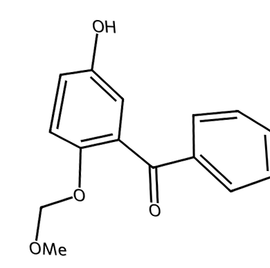 COCOc1ccc(O)cc1C(=O)c1ccccc1